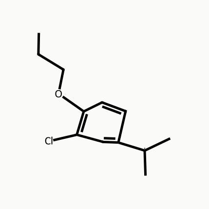 CCCOc1ccc([C](C)C)cc1Cl